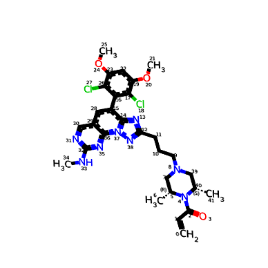 C=CC(=O)N1[C@H](C)CN(CCCc2nc3c(-c4c(Cl)c(OC)cc(OC)c4Cl)cc4cnc(NC)nc4n3n2)C[C@@H]1C